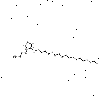 CCCCCCCCCCCCCCCCCCON1CCCC1CCCO